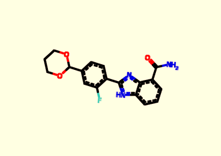 NC(=O)c1cccc2[nH]c(-c3ccc(C4OCCCO4)cc3F)nc12